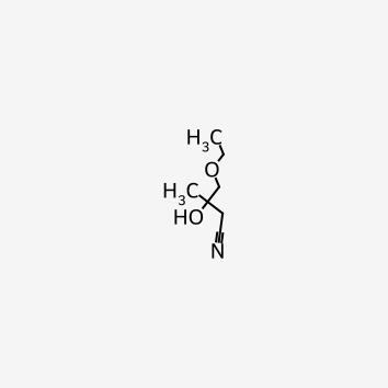 CCOCC(C)(O)CC#N